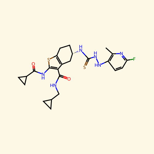 Cc1nc(F)ccc1NNC(=S)N[C@H]1CCc2sc(NC(=O)C3CC3)c(C(=O)NCC3CC3)c2C1